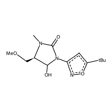 COC[C@@H]1C(O)N(c2cc(C(C)(C)C)on2)C(=O)N1C